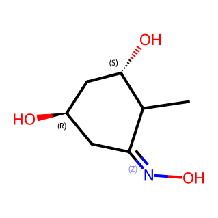 CC1/C(=N\O)C[C@@H](O)C[C@@H]1O